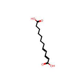 O=C(O)C=CC=CCCCCCCC(=O)O